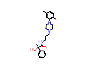 Cc1ccc(C)c(N2CCN(CCCNC(=O)[C@@](C)(O)c3ccccc3)CC2)c1